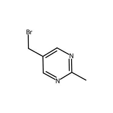 Cc1ncc(CBr)cn1